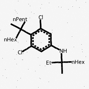 CCCCCCC(C)(CC)Nc1cc(Cl)c(C(C)(CCCCC)CCCCCC)c(Cl)c1